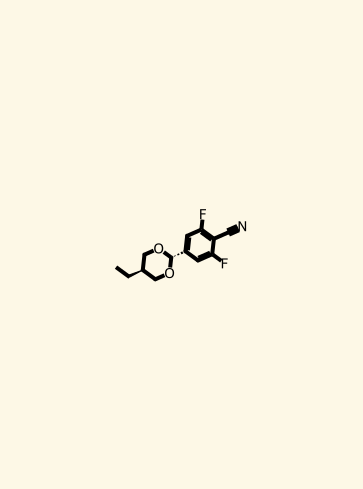 CC[C@H]1CO[C@H](c2cc(F)c(C#N)c(F)c2)OC1